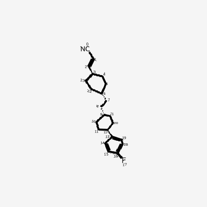 N#CC=C[C@H]1CC[C@H](CC[C@H]2CC[C@H](c3ccc(F)cc3)CC2)CC1